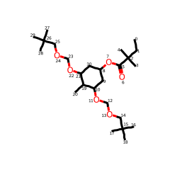 CCC(C)(C)C(=O)OC1CC(OCOCC(C)(C)C)C(C)C(OCOCC(C)(C)C)C1